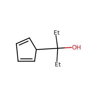 CCC(O)(CC)C1C=CC=C1